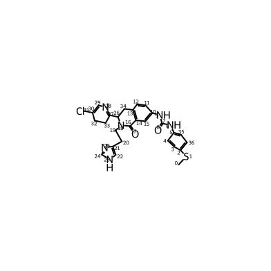 CSc1ccc(NC(=O)Nc2ccc3c(c2)C(=O)N(CCc2c[nH]cn2)C(C2=NC=C(Cl)CC2)C3)cc1